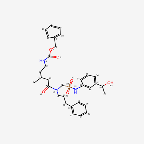 CC(CCNC(=O)OCc1ccccc1)CC(=O)N(CCCc1ccccc1)CS(=O)(=O)Nc1cccc(C(C)O)c1